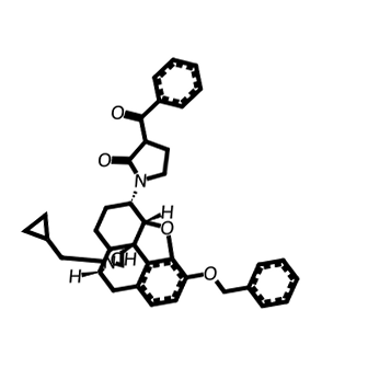 O=C(c1ccccc1)C1CCN([C@H]2CCC3(O)[C@H]4Cc5ccc(OCc6ccccc6)c6c5[C@@]3(CCN4CC3CC3)[C@H]2O6)C1=O